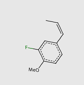 C/C=C\c1ccc(OC)c(F)c1